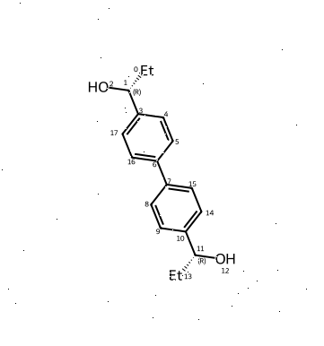 CC[C@@H](O)c1ccc(-c2ccc([C@H](O)CC)cc2)cc1